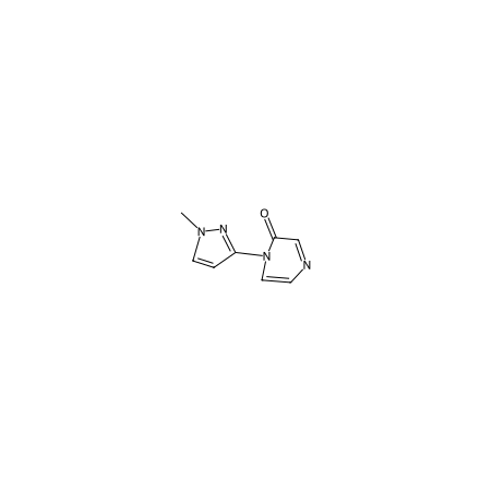 Cn1ccc(-n2ccncc2=O)n1